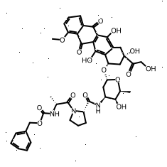 COc1cccc2c1C(=O)c1c(O)c3c(c(O)c1C2=O)C[C@@](O)(C(=O)CO)C[C@@H]3O[C@H]1C[C@H](NC(=O)[C@@H]2CCCN2C(=O)[C@@H](C)NC(=O)OCc2ccccc2)[C@H](O)[C@H](C)O1